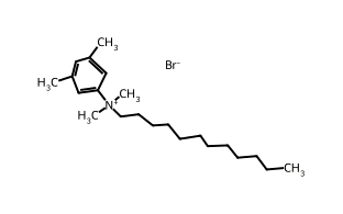 CCCCCCCCCCCC[N+](C)(C)c1cc(C)cc(C)c1.[Br-]